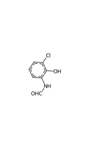 O=CNc1cccc(Cl)c1O